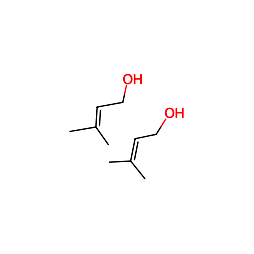 CC(C)=CCO.CC(C)=CCO